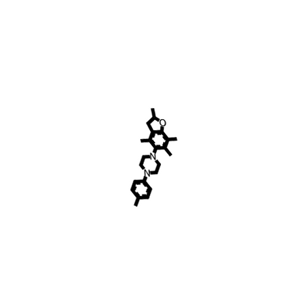 Cc1ccc(N2CCN(c3c(C)c(C)c4c(c3C)CC(C)O4)CC2)cc1